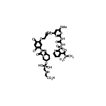 C#CCOc1cc(-n2nc3n(c2=O)CCCC3)c(Cl)cc1Cl.COc1cc(OC)nc(NC(=O)NS(=O)(=O)c2ncccc2C(=O)N(C)C)n1.O=C(O)CNCP(=O)(O)O